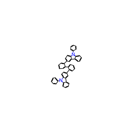 c1ccc(-n2c3ccccc3c3cc(-c4ccccc4-c4ccccc4-c4ccc5c(c4)c4ccccc4n5-c4ccccc4)ccc32)cc1